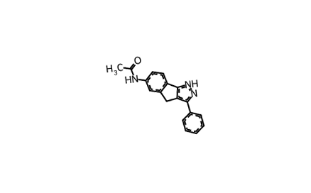 CC(=O)Nc1ccc2c(c1)Cc1c(-c3ccccc3)n[nH]c1-2